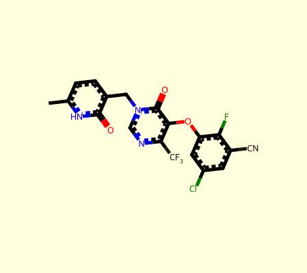 Cc1ccc(Cn2cnc(C(F)(F)F)c(Oc3cc(Cl)cc(C#N)c3F)c2=O)c(=O)[nH]1